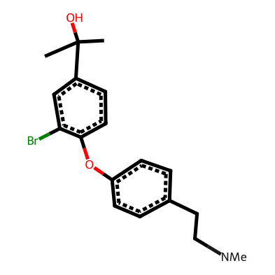 CNCCc1ccc(Oc2ccc(C(C)(C)O)cc2Br)cc1